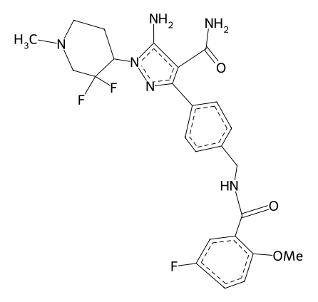 COc1ccc(F)cc1C(=O)NCc1ccc(-c2nn(C3CCN(C)CC3(F)F)c(N)c2C(N)=O)cc1